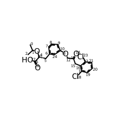 CC(C)O[C@@H](Cc1cccc(OCC(=O)Cc2c(Cl)cccc2Cl)c1)C(=O)O